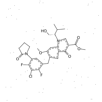 COC(=O)c1cn([C@H](CO)C(C)C)c2cc(OC)c(Cc3cc(N4CCCC4=O)c(F)c(Cl)c3F)cc2c1=O